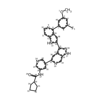 COc1cc(F)cc(-c2nccc3[nH]c(-c4n[nH]c5cnc(-c6cncc(NC(=O)C7CCCC7)c6)cc45)cc23)c1